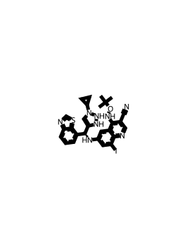 CC(C)(C)ONc1c(C#N)cnc2c(I)cc(N[C@H](C3=CN(C4CC4)NN3)c3cccc4ncsc34)cc12